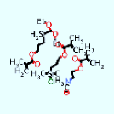 C=C(C)C(=O)OCCC[SiH2]C(OCC)OCC.C=C(C)C(=O)OCCC[Si](C)(C)Cl.C=C(C)C(=O)OCCN=C=O